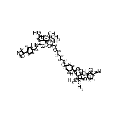 CC(C)(C)[C@H](NC(=O)COCCCCCOc1ccc(C(=O)N[C@H]2C(C)(C)[C@H](Oc3ccc(C#N)c(Cl)c3)C2(C)C)cc1)C(=O)C1C[C@H](O)C[C@H]1C(=O)NCc1ccc(-c2cnco2)cc1